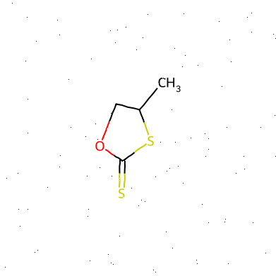 CC1COC(=S)S1